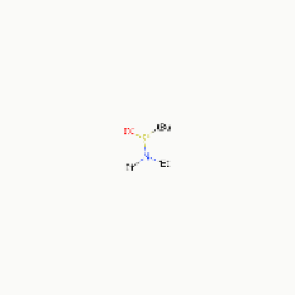 CCN(CC)[S+]([O-])C(C)(C)C